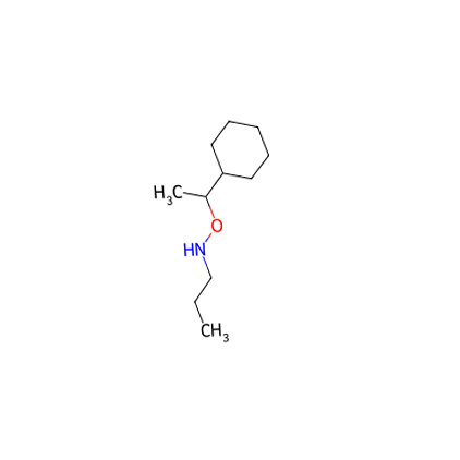 CCCNOC(C)C1CCCCC1